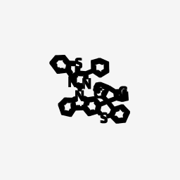 c1ccc(-c2nc(-n3c4ccccc4c4cc5c(cc43)C3(c4ccccc4S5)c4ccccc4-c4ccccc43)nc3c2sc2ccccc23)cc1